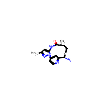 C[C@@H]1CCC[C@H](N)c2cc(ccn2)-n2nc(C(=O)O)cc2NC1=O